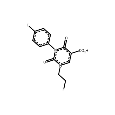 O=C(O)c1cn(CCF)c(=O)n(-c2ccc(F)cc2)c1=O